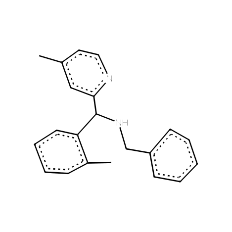 Cc1ccnc(C(NCc2ccccc2)c2ccccc2C)c1